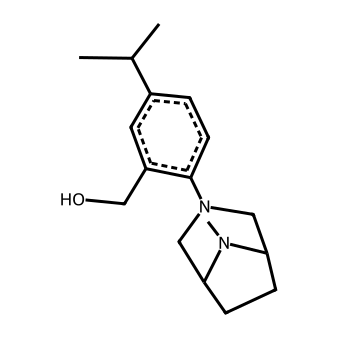 CC(C)c1ccc(N2CC3CCC(C2)N3C)c(CO)c1